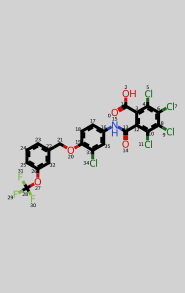 O=C(O)c1c(Cl)c(Cl)c(Cl)c(Cl)c1C(=O)Nc1ccc(OCc2cccc(OC(F)(F)F)c2)c(Cl)c1